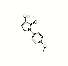 COc1ccc(N2CC=C(O)C2=O)cc1